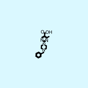 Cc1nc(N2CCN(Cc3ccccc3)CC2)ncc1C(=O)O